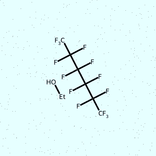 CCO.FC(F)(F)C(F)(F)C(F)(F)C(F)(F)C(F)(F)C(F)(F)F